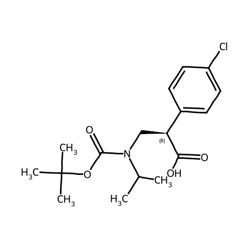 CC(C)N(C[C@H](C(=O)O)c1ccc(Cl)cc1)C(=O)OC(C)(C)C